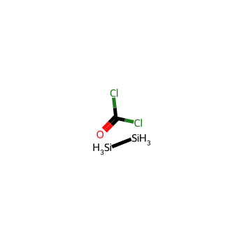 O=C(Cl)Cl.[SiH3][SiH3]